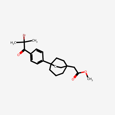 COC(=O)CC12CCCC(c3ccc(C(=O)C(C)(C)Br)cc3)(CC1)CC2